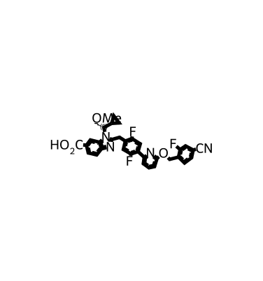 COC[C@H](C1CC1)n1c(Cc2cc(F)c(-c3cccc(OCc4ccc(C#N)cc4F)n3)cc2F)nc2ccc(C(=O)O)cc21